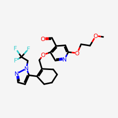 COCCOc1cc(C=O)c(OCC2=C(c3ccnn3CC(F)(F)F)CCCC2)cn1